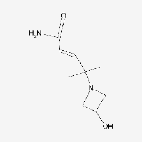 CC(C)(C=CC(N)=O)N1CC(O)C1